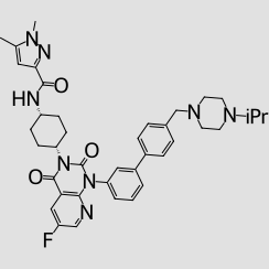 Cc1cc(C(=O)N[C@H]2CC[C@@H](n3c(=O)c4cc(F)cnc4n(-c4cccc(-c5ccc(CN6CCN(C(C)C)CC6)cc5)c4)c3=O)CC2)nn1C